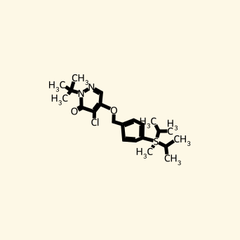 CC(C)S(C)(c1ccc(COc2cnn(C(C)(C)C)c(=O)c2Cl)cc1)C(C)C